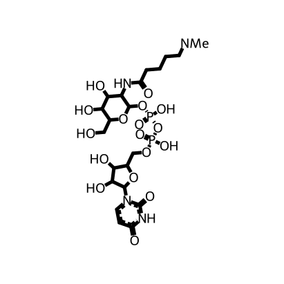 CNCCCCC(=O)NC1C(OP(=O)(O)OP(=O)(O)OCC2OC(n3ccc(=O)[nH]c3=O)C(O)C2O)OC(CO)C(O)C1O